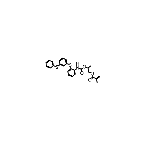 C=C(C)C(=O)OCC(C)OC(=O)Nc1ccccc1Sc1cccc(Sc2ccccc2)c1